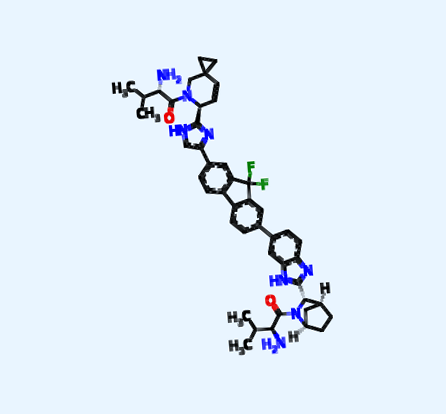 CC(C)[C@H](N)C(=O)N1CC2(C=C[C@H]1c1nc(-c3ccc4c(c3)C(F)(F)c3cc(-c5ccc6nc([C@@H]7[C@H]8CC[C@H](C8)N7C(=O)[C@@H](N)C(C)C)[nH]c6c5)ccc3-4)c[nH]1)CC2